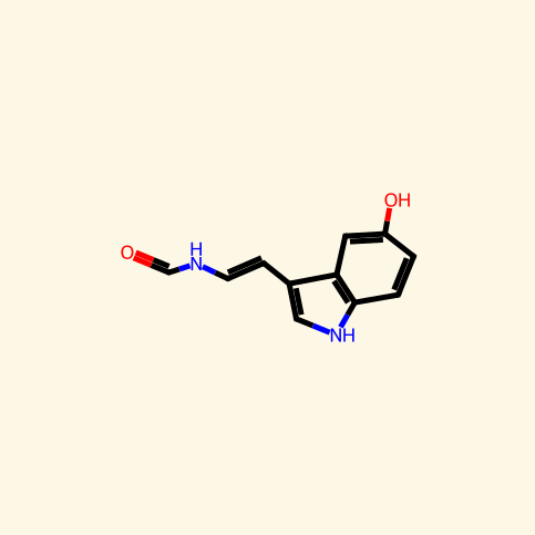 O=CNC=Cc1c[nH]c2ccc(O)cc12